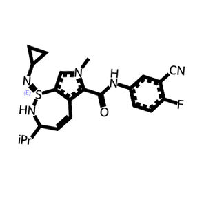 CC(C)C1C=Cc2c(cn(C)c2C(=O)Nc2ccc(F)c(C#N)c2)/S(=N\C2CC2)N1